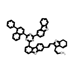 C/C=C\c1c(/C=C/c2ccc3c(c2)oc2cccc(-c4nc(-c5ccc6oc7ccccc7c6c5)nc(-c5ccc(-c6ccccc6)c6ccccc56)n4)c23)oc2c1C=CCC2